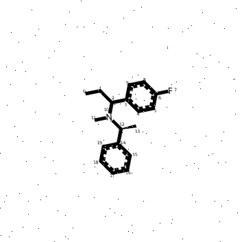 CCC(c1ccc(F)cc1)N(C)[C@@H](C)c1ccccc1